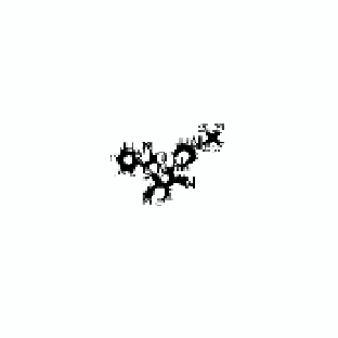 CCc1c(C#N)c(SC(C(N)=O)c2ccccc2)nc(N2CCC(NCC(C)(C)C)CC2)c1C#N